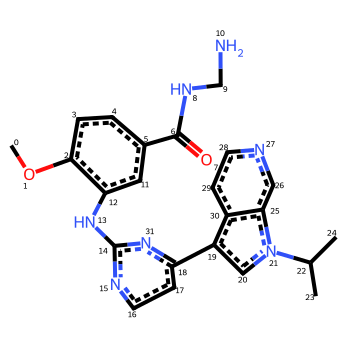 COc1ccc(C(=O)NCN)cc1Nc1nccc(-c2cn(C(C)C)c3cnccc23)n1